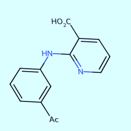 CC(=O)c1cccc(Nc2ncccc2C(=O)O)c1